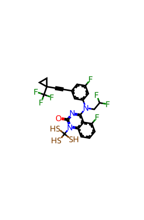 O=c1nc(N(CC(F)F)c2cc(F)cc(C#CC3(C(F)(F)F)CC3)c2)c2c(F)cccc2n1C(S)(S)S